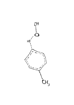 Cc1ccc(BOO)cc1